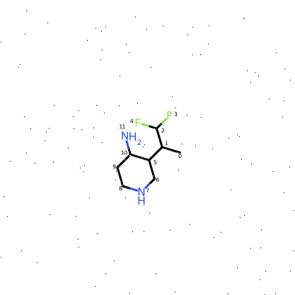 CC(C(F)F)C1CNCCC1N